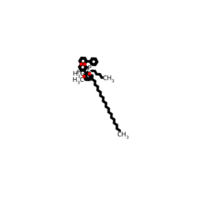 CCCCCCCCCCCCCCCCCCCCCC[PH](C)(CC(C)C)C(CCCCC)P(c1ccccc1-c1ccccc1)c1ccccc1-c1ccccc1